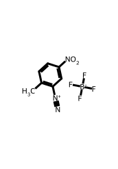 Cc1ccc([N+](=O)[O-])cc1[N+]#N.F[B-](F)(F)F